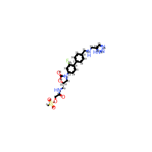 CS(=O)(=O)OCC(=O)NC[C@H]1CN(c2ccc(-c3ccc(CNCc4cnn[nH]4)cc3)c(F)c2)C(=O)O1